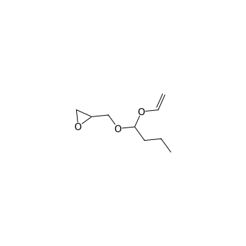 C=COC(CCC)OCC1CO1